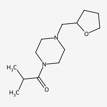 CC(C)C(=O)N1CCN(CC2CCCO2)CC1